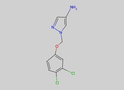 Nc1cnn(COc2ccc(Cl)c(Cl)c2)c1